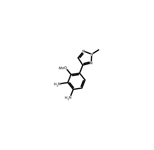 COc1c(-c2cnn(C)n2)ccc(N)c1N